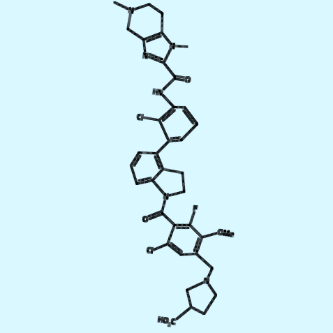 COc1c(CN2CCC(C(=O)O)C2)cc(Cl)c(C(=O)N2CCc3c(-c4cccc(NC(=O)c5nc6c(n5C)CCN(C)C6)c4Cl)cccc32)c1F